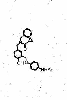 CC(=O)Nc1ccc(OCc2cc(CN(Cc3ccccc3)C(=O)C3CC3)ccc2O)cc1